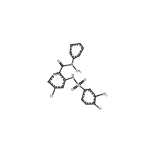 CN(C(=O)c1ncc(Cl)cc1NS(=O)(=O)c1ccc(Cl)c(C(F)(F)F)c1)c1ccccc1